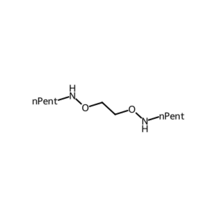 CCCCCNOCCONCCCCC